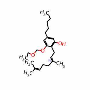 CCCCCc1cc(O)c(C/C=C(\C)CCC=C(C)C)c(OCOCC)c1